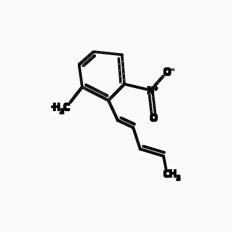 [CH2]c1cccc([N+](=O)[O-])c1/C=C/C=C/C